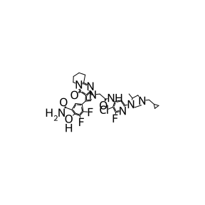 CC1CN(CC2CC2)CCN1c1cc(NC(=O)Cn2cc(-c3cc(C(N)=O)c(O)c(F)c3F)c3c(=O)n4c(nc32)CCCC4)c(Cl)c(F)n1